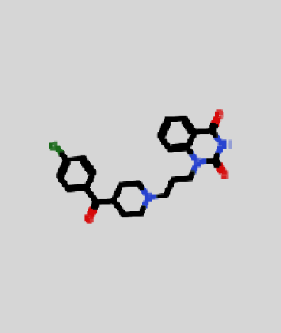 O=C(c1ccc(Cl)cc1)C1CCN(CCCn2c(=O)[nH]c(=O)c3ccccc32)CC1